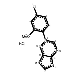 COc1cc(Cl)ccc1-n1cnc2ncnc-2n1.Cl